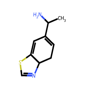 CC(N)C1=CCC2N=CSC2=C1